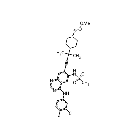 COOSN1CCN(C(C)(C)C#Cc2cc3ncnc(Nc4ccc(F)c(Cl)c4)c3cc2NS(C)(=O)=O)CC1